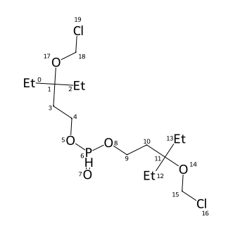 CCC(CC)(CCO[PH](=O)OCCC(CC)(CC)OCCl)OCCl